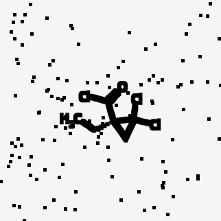 CC[C@@]1(C(=O)Cl)CC1(Cl)Cl